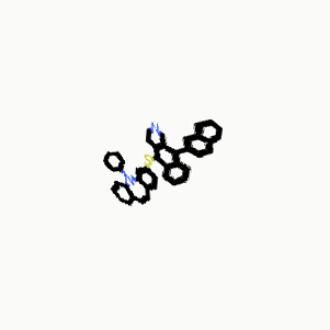 C1=CC(N2C3=C(C=Cc4ccc(Sc5c6ccccc6c(-c6ccc7ccccc7c6)c6cnccc56)cc42)CCC=C3)CCC1